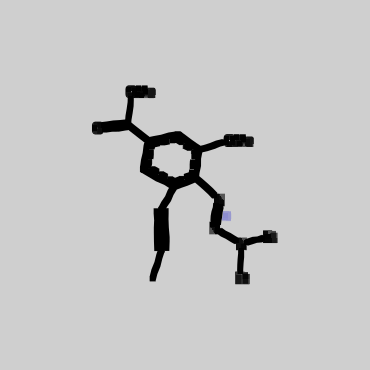 CC#Cc1cc(C(=O)OC)cc(OC)c1/N=N/N(CC)CC